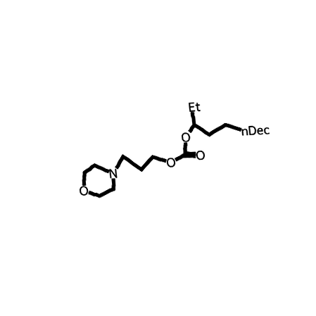 [CH2]CC(CCCCCCCCCCCC)OC(=O)OCCCN1CCOCC1